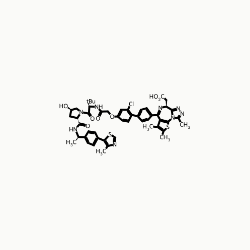 Cc1ncsc1-c1ccc([C@H](C)NC(=O)[C@@H]2C[C@@H](O)CN2C(=O)[C@@H](NC(=O)COc2ccc(-c3ccc(C4=N[C@@H](CC(=O)O)c5nnc(C)n5-c5sc(C)c(C)c54)cc3)c(Cl)c2)C(C)(C)C)cc1